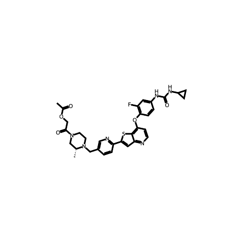 CC(=O)OCC(=O)N1CCN(Cc2ccc(-c3cc4nccc(Oc5ccc(NC(=O)NC6CC6)cc5F)c4s3)nc2)[C@H](C)C1